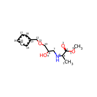 COC(=O)C(C)NCC(O)COCc1ccccc1